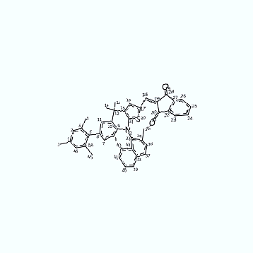 Cc1cc(C)c(-c2ccc3c(c2)C(C)(C)c2cc(C=C4C(=O)c5ccccc5C4=O)sc2N3c2c(C)ccc3ccccc23)c(C)c1